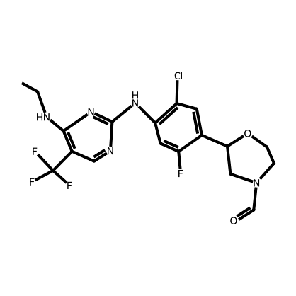 CCNc1nc(Nc2cc(F)c(C3CN(C=O)CCO3)cc2Cl)ncc1C(F)(F)F